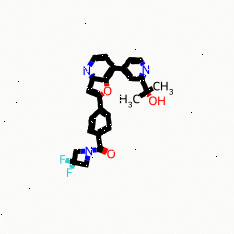 CC(C)(O)c1cc(-c2ccnc3cc(-c4ccc(C(=O)N5CC(F)(F)C5)cc4)oc23)ccn1